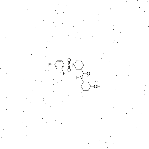 O=C(NC1CCCC(O)C1)C1CCCN(S(=O)(=O)c2ccc(F)cc2F)C1